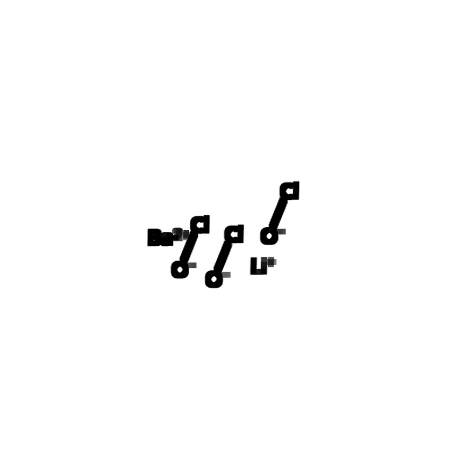 [Ba+2].[Li+].[O-]Cl.[O-]Cl.[O-]Cl